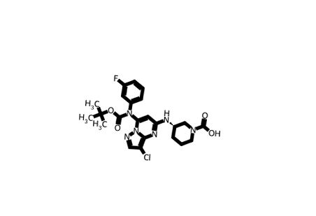 CC(C)(C)OC(=O)N(c1cccc(F)c1)c1cc(N[C@H]2CCCN(C(=O)O)C2)nc2c(Cl)cnn12